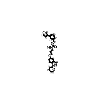 O=C(NCCCOc1ccc2c(cnn2C2CCCCO2)c1)OCc1cccc(C2=CCOC2)c1